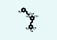 COc1cccc(/C=C/C(=O)Nc2cc(C=Cc3cc(OC)c(OC)c(OC)c3)cc(O)c2OC)c1